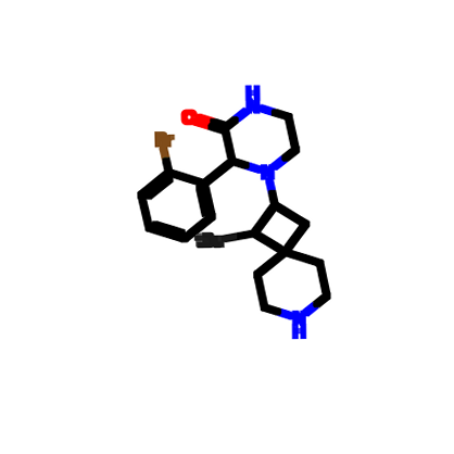 CC(C)(C)C1C(N2CCNC(=O)C2c2ccccc2Br)CC12CCNCC2